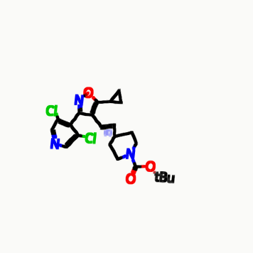 CC(C)(C)OC(=O)N1CCC(/C=C/c2c(-c3c(Cl)cncc3Cl)noc2C2CC2)CC1